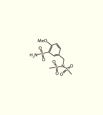 COc1ccc(CN(S(C)(=O)=O)S(C)(=O)=O)cc1S(N)(=O)=O